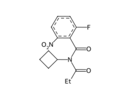 CCC(=O)N(C(=O)c1c(F)cccc1[N+](=O)[O-])C1CCC1